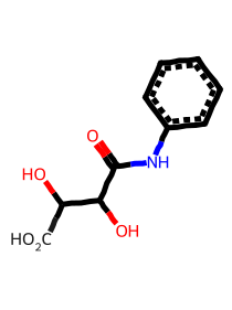 O=C(O)C(O)C(O)C(=O)Nc1ccccc1